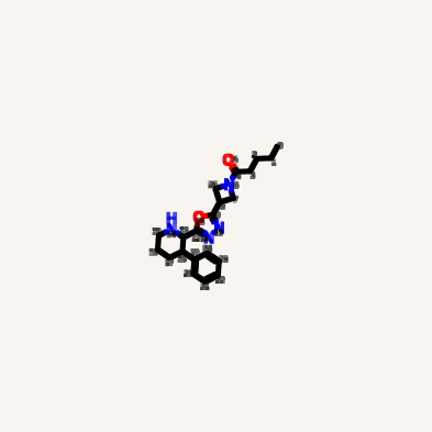 CCCCC(=O)N1CC(c2nnc(C3NCCCC3c3ccccc3)o2)C1